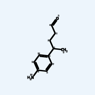 CC(CC[C]=O)c1ccc(N)cc1